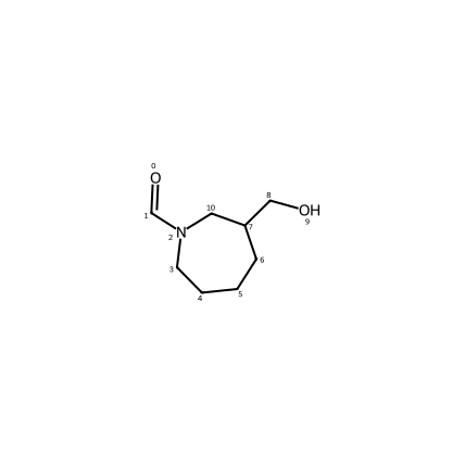 O=CN1CCCCC(CO)C1